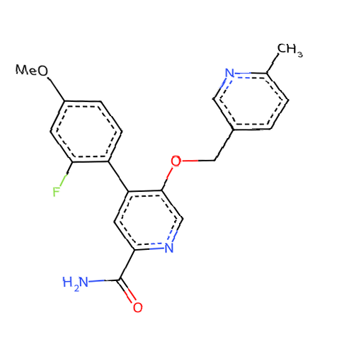 COc1ccc(-c2cc(C(N)=O)ncc2OCc2ccc(C)nc2)c(F)c1